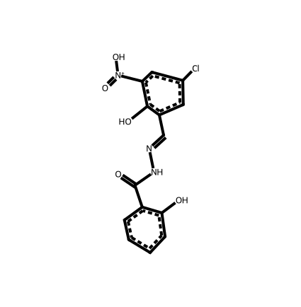 O=C(N/N=C/c1cc(Cl)cc([N+](=O)O)c1O)c1ccccc1O